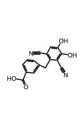 N#Cc1cc(O)c(O)c(C#N)c1Cc1cccc(C(=O)O)c1